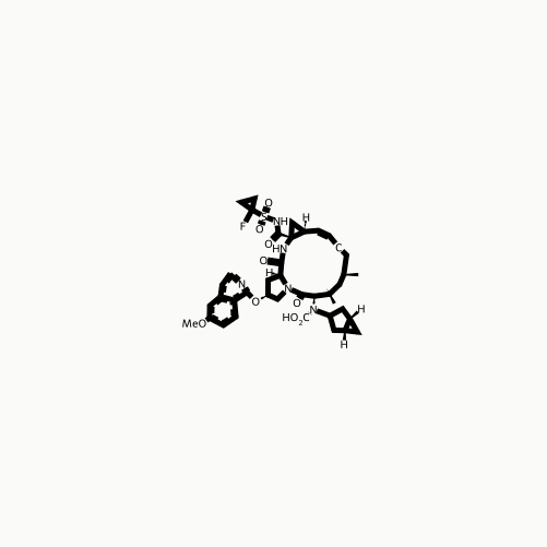 COc1ccc2c(O[C@@H]3C[C@H]4C(=O)N[C@]5(C(=O)NS(=O)(=O)C6(F)CC6)C[C@H]5C=CCC[C@@H](C)C[C@@H](C)[C@H](N(C(=O)O)C5C[C@@H]6C[C@@H]6C5)C(=O)N4C3)nccc2c1